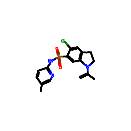 C=C(C)N1CCc2cc(Cl)c(S(=O)(=O)Nc3ccc(C)cn3)cc21